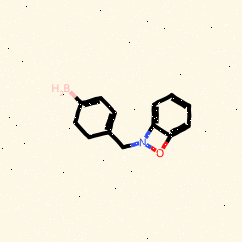 BC1=CC=C(Cn2oc3ccccc32)CC1